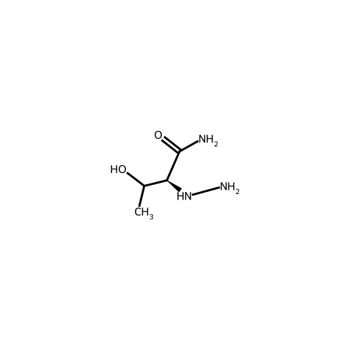 CC(O)[C@H](NN)C(N)=O